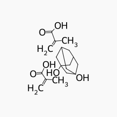 C=C(C)C(=O)O.C=C(C)C(=O)O.OC12CC3CC(C1)CC(O)(C3)C2